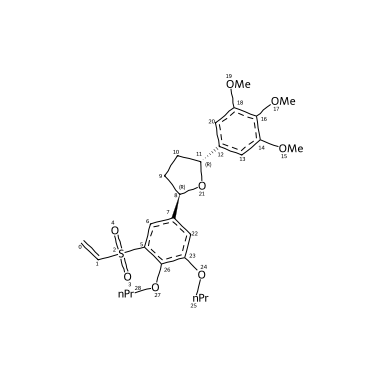 C=CS(=O)(=O)c1cc([C@H]2CC[C@H](c3cc(OC)c(OC)c(OC)c3)O2)cc(OCCC)c1OCCC